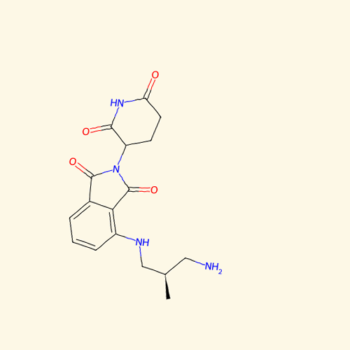 C[C@H](CN)CNc1cccc2c1C(=O)N(C1CCC(=O)NC1=O)C2=O